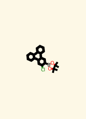 CC1(C)OB(c2cc3c4ccccc4c4ccccc4c3cc2Cl)OC1(C)C